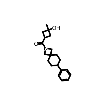 CC1(O)CC(C(=O)N2CC3(CCC(c4ccccc4)CC3)C2)C1